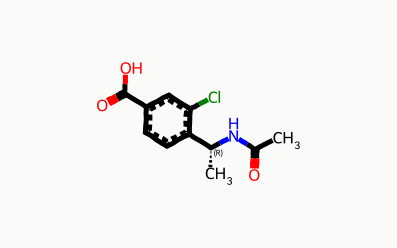 CC(=O)N[C@H](C)c1ccc(C(=O)O)cc1Cl